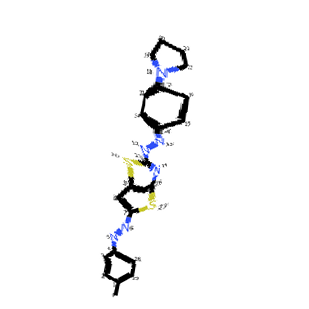 Cc1ccc(N=Nc2cc3sc(N=Nc4ccc(N5CCCC5)cc4)nc3s2)cc1